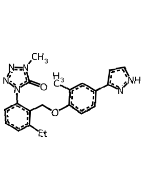 CCc1cccc(-n2nnn(C)c2=O)c1COc1ccc(-c2cc[nH]n2)cc1C